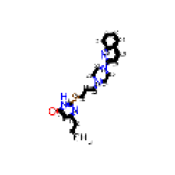 CCCc1cc(=O)[nH]c(SCCCN2CCN(c3ccc4ccccc4n3)CC2)n1